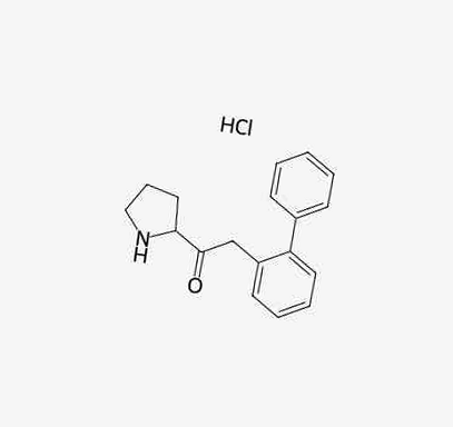 Cl.O=C(Cc1ccccc1-c1ccccc1)C1CCCN1